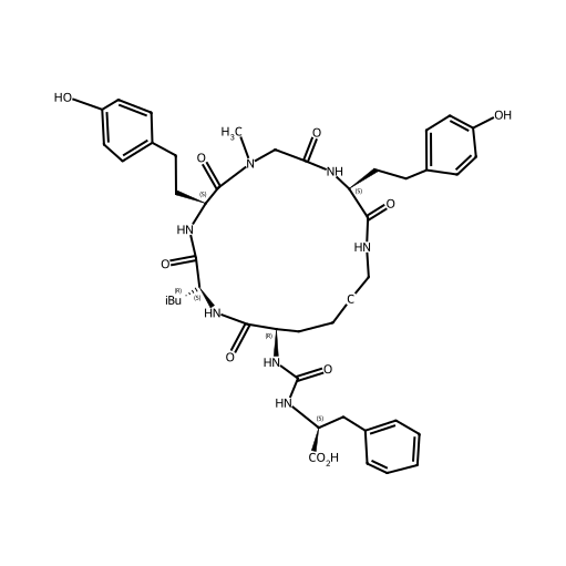 CC[C@@H](C)[C@@H]1NC(=O)[C@H](NC(=O)N[C@@H](Cc2ccccc2)C(=O)O)CCCCNC(=O)[C@H](CCc2ccc(O)cc2)NC(=O)CN(C)C(=O)[C@H](CCc2ccc(O)cc2)NC1=O